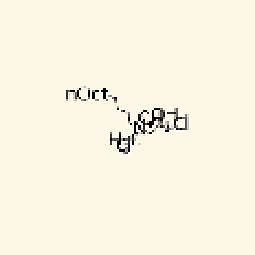 CCCCCCCCCCCC[N+](C)(C)C[C@H](O)CCl.[Cl-]